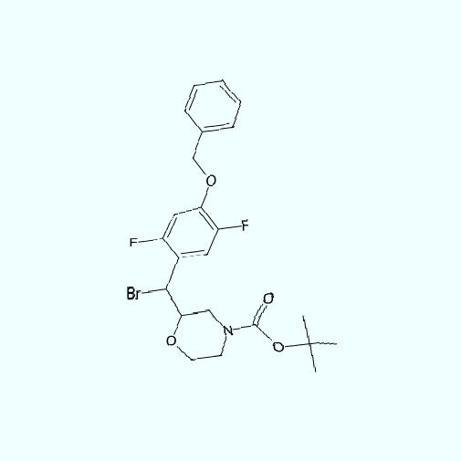 CC(C)(C)OC(=O)N1CCOC(C(Br)c2cc(F)c(OCc3ccccc3)cc2F)C1